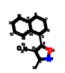 Cc1noc(-c2cccc3ccccc23)c1[N+](=O)[O-]